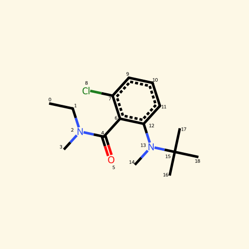 CCN(C)C(=O)c1c(Cl)cccc1N(C)C(C)(C)C